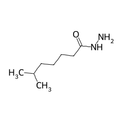 CC(C)CCCCC(=O)NN